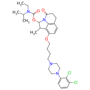 CCN(C(=O)OC1C(C)c2c(OCCCCN3CCN(c4cccc(Cl)c4Cl)CC3)ccc3c2N1C(=O)CC3)C(C)C